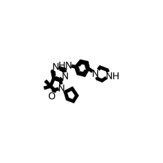 CC1(C)C(=O)N(C2CCCC2)c2nc(Nc3ccc(N4CCNCC4)cc3)ncc21